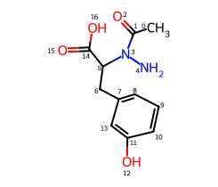 CC(=O)N(N)C(Cc1cccc(O)c1)C(=O)O